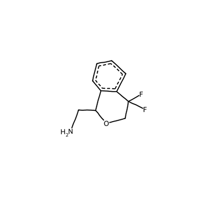 NCC1OCC(F)(F)c2ccccc21